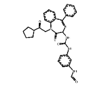 O=CNc1cccc(NC(=O)NC2N=C(c3ccccc3)c3ccccc3N(CC(=O)C3CCCC3)C2=O)c1